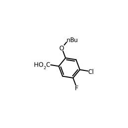 CCCCOc1cc(Cl)c(F)cc1C(=O)O